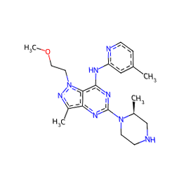 COCCn1nc(C)c2nc(N3CCNC[C@@H]3C)nc(Nc3cc(C)ccn3)c21